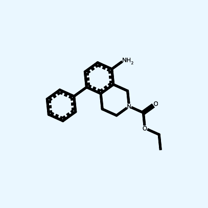 CCOC(=O)N1CCc2c(-c3ccccc3)ccc(N)c2C1